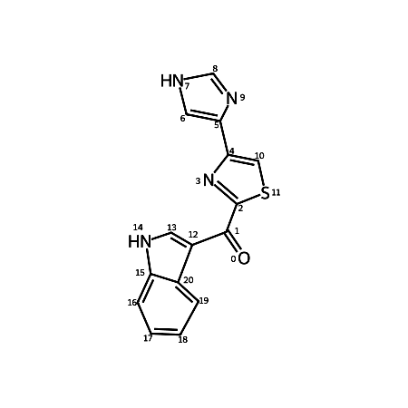 O=C(c1nc(-c2c[nH]cn2)cs1)c1c[nH]c2ccccc12